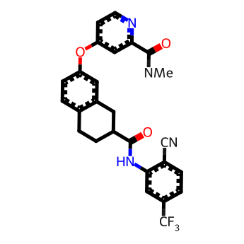 CNC(=O)c1cc(Oc2ccc3c(c2)CC(C(=O)Nc2cc(C(F)(F)F)ccc2C#N)CC3)ccn1